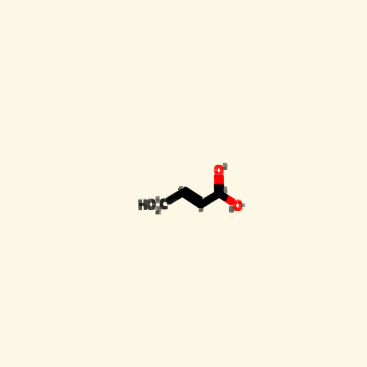 [O]C(=O)C=CC(=O)O